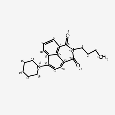 CCCCN1C(=O)c2cccc3c(N4CCCCC4)ccc(c23)C1=O